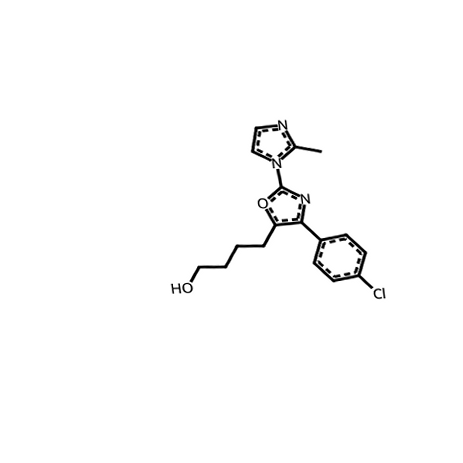 Cc1nccn1-c1nc(-c2ccc(Cl)cc2)c(CCCCO)o1